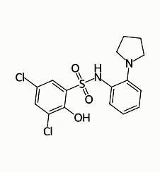 O=S(=O)(Nc1ccccc1N1CCCC1)c1cc(Cl)cc(Cl)c1O